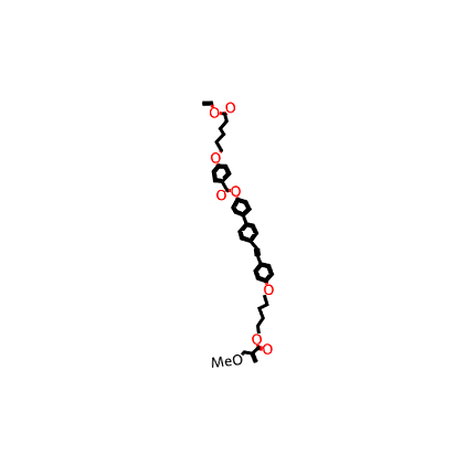 C=COC(=O)CCCCCOc1ccc(C(=O)Oc2ccc(-c3ccc(C#Cc4ccc(OCCCCCCOC(=O)C(=C)COC)cc4)cc3)cc2)cc1